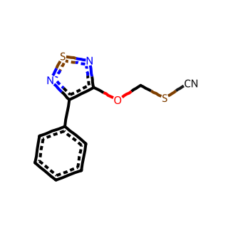 N#CSCOc1nsnc1-c1ccccc1